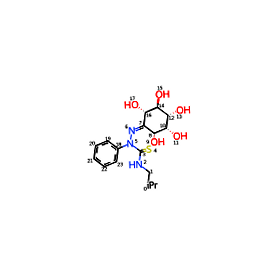 CC(C)CNC(=S)N(/N=C1\[C@@H](O)[C@@H](O)[C@@H](O)[C@H](O)[C@H]1O)c1ccccc1